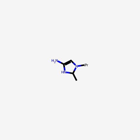 CC(C)N1C=C(N)NC1C